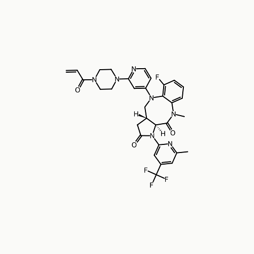 C=CC(=O)N1CCN(c2cc(N3C[C@H]4CC(=O)N(c5cc(C(F)(F)F)cc(C)n5)[C@@H]4C(=O)N(C)c4cccc(F)c43)ccn2)CC1